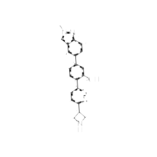 Cn1cc2cc(-c3ccc(-c4ccc(C5CNC5)nn4)c(O)c3)ccc2n1